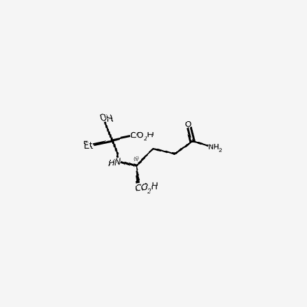 CCC(O)(N[C@@H](CCC(N)=O)C(=O)O)C(=O)O